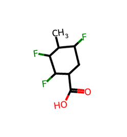 CC1C(F)CC(C(=O)O)C(F)C1F